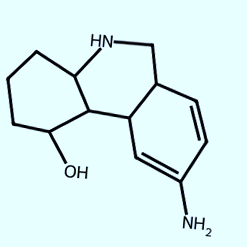 NC1=CC2C(C=C1)CNC1CCCC(O)C12